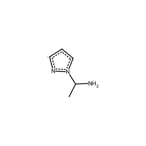 CC(N)n1cc[c]n1